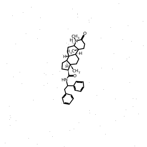 CN1C(=O)CC[C@]2(C)[C@H]3CC[C@]4(C)[C@@H](C(=O)NC(Cc5ccccc5)c5ccccc5)CC[C@H]4[C@@H]3CC[C@@H]12